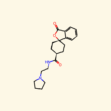 O=C1O[C@]2(CC[C@H](C(=O)NCCN3CCCC3)CC2)c2ccccc21